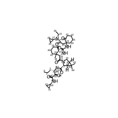 CCC[C@H](NC(=O)[C@@H]1[C@@H]2[C@H](CN1C(=O)[C@@H](NC(=O)NC1(CS(=O)(=O)N(CC)C3CC3)CCCCC1)C1(C)CCCCC1)C2(C)C)C(=O)C(=O)NC1CC1